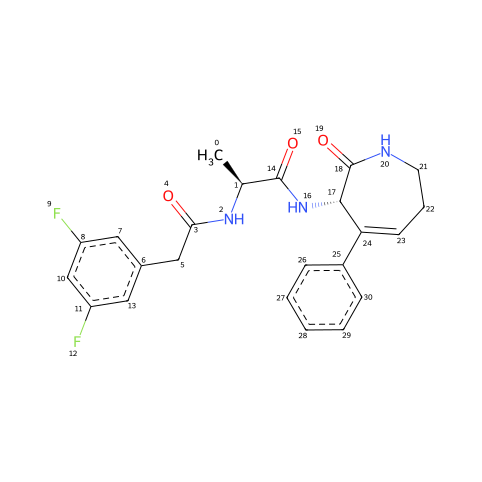 C[C@H](NC(=O)Cc1cc(F)cc(F)c1)C(=O)N[C@@H]1C(=O)NCCC=C1c1ccccc1